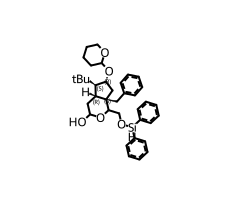 CC(C)(C)[C@@H]1[C@H]2CC(O)OC(CO[SiH](c3ccccc3)c3ccccc3)[C@@]2(Cc2ccccc2)C[C@H]1OC1CCCCO1